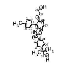 Cc1ccc(-c2c(NS(=O)(=O)c3ccc(C(C)(C)CO)cc3)ncnc2OCCO)cc1